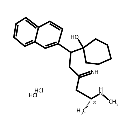 CN[C@H](C)CC(=N)CC(c1ccc2ccccc2c1)C1(O)CCCCC1.Cl.Cl